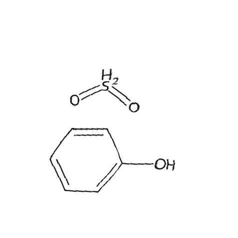 O=[SH2]=O.Oc1ccccc1